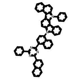 c1ccc(-c2nc(-c3ccc4ccccc4c3)nc(-c3ccc(-n4c5ccccc5c5c4ccc4c6c7ccccc7ccc6n(-c6ccccc6)c45)c4ccccc34)n2)cc1